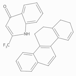 C1=CC2=C(CC1)CCc1c2ccc2ccccc12.O=c1cc(C(F)(F)F)[nH]c2ccccc12